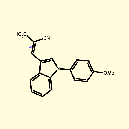 COc1ccc(-n2cc(/C=C(\C#N)C(=O)O)c3ccccc32)cc1